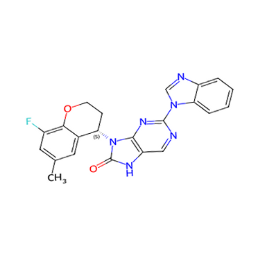 Cc1cc(F)c2c(c1)[C@@H](n1c(=O)[nH]c3cnc(-n4cnc5ccccc54)nc31)CCO2